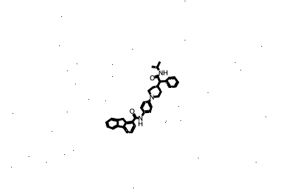 CC(C)NC(=O)C(c1ccccc1)C1CCN(c2ccc(NC(=O)c3cccc4c3Cc3ccccc3-4)cc2)CC1